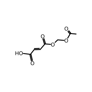 CC(=O)OCOC(=O)/C=C/C(=O)O